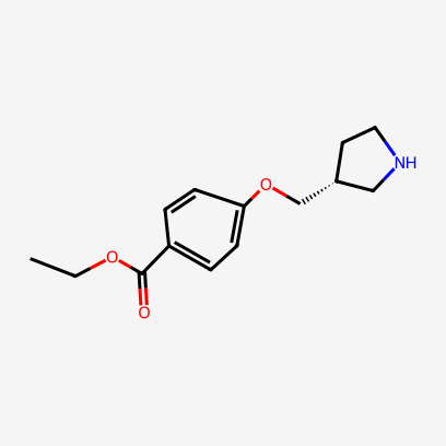 CCOC(=O)c1ccc(OC[C@@H]2CCNC2)cc1